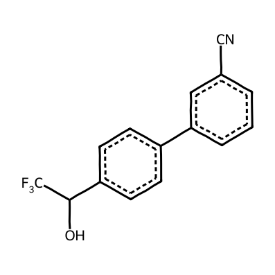 N#Cc1cccc(-c2ccc(C(O)C(F)(F)F)cc2)c1